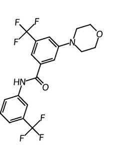 O=C(Nc1cccc(C(F)(F)F)c1)c1cc(N2CCOCC2)cc(C(F)(F)F)c1